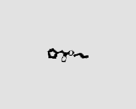 C/C=C/COC(=O)CC1CCCC1